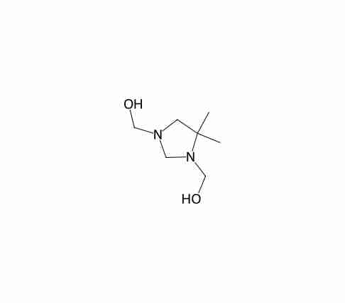 CC1(C)CN(CO)CN1CO